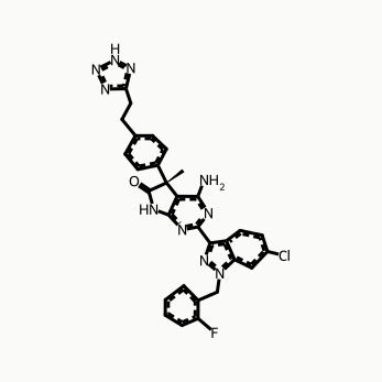 C[C@]1(c2ccc(CCc3nn[nH]n3)cc2)C(=O)Nc2nc(-c3nn(Cc4ccccc4F)c4cc(Cl)ccc34)nc(N)c21